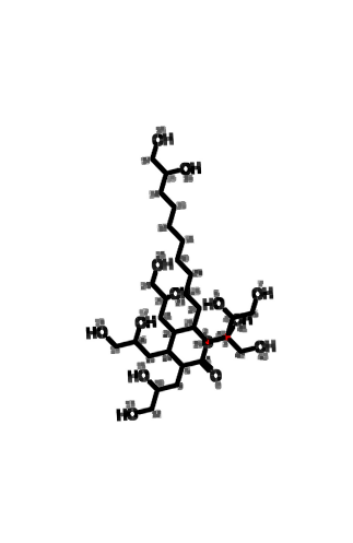 O=C(OCC(O)CO)C(CC(O)CO)C(CC(O)CO)C(CC(O)CO)C(CCCCCCCCC(O)CO)CC(O)CO